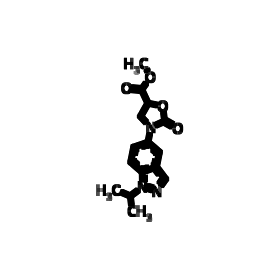 COC(=O)C1CN(c2ccc3c(cnn3C(C)C)c2)C(=O)O1